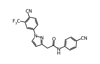 N#Cc1ccc(NC(=O)Cc2ccn(-c3ccc(C#N)c(C(F)(F)F)c3)n2)cc1